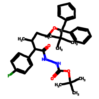 CC(CCO[Si](c1ccccc1)(c1ccccc1)C(C)(C)C)C(C(=O)NNC(=O)OC(C)(C)C)c1ccc(F)cc1